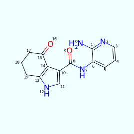 Nc1ncccc1NC(=O)c1c[nH]c2c1C(=O)CCC2